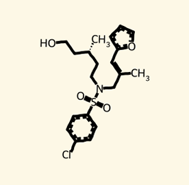 CC(=Cc1ccco1)CN(CC[C@@H](C)CCO)S(=O)(=O)c1ccc(Cl)cc1